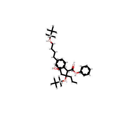 CCCC(CCO)(O[Si](C)(C)C(C)(C)C)C(C(=O)Oc1ccccc1)c1ccc(CCCCO[Si](C)(C)C(C)(C)C)cc1